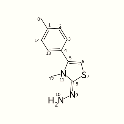 Cc1ccc(-c2csc(=NN)n2C)cc1